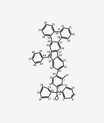 Cc1cc(P(=O)(c2ccccc2)c2ccccc2)ccc1-c1ccc2c3cc4c5ccccc5c5ccccc5c4cc3n(-c3ccccc3)c2c1